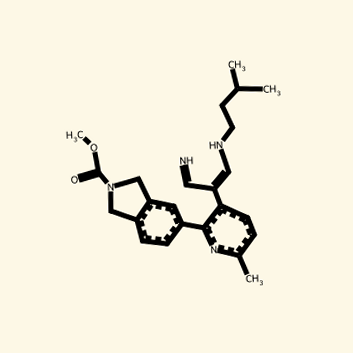 COC(=O)N1Cc2ccc(-c3nc(C)ccc3/C(C=N)=C/NCCC(C)C)cc2C1